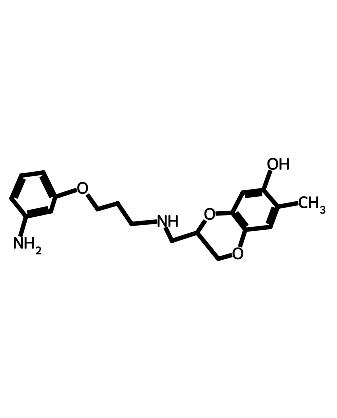 Cc1cc2c(cc1O)OC(CNCCCOc1cccc(N)c1)CO2